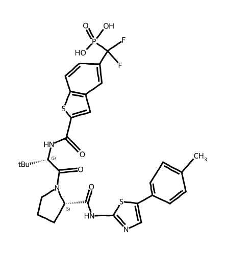 Cc1ccc(-c2cnc(NC(=O)[C@@H]3CCCN3C(=O)[C@@H](NC(=O)c3cc4cc(C(F)(F)P(=O)(O)O)ccc4s3)C(C)(C)C)s2)cc1